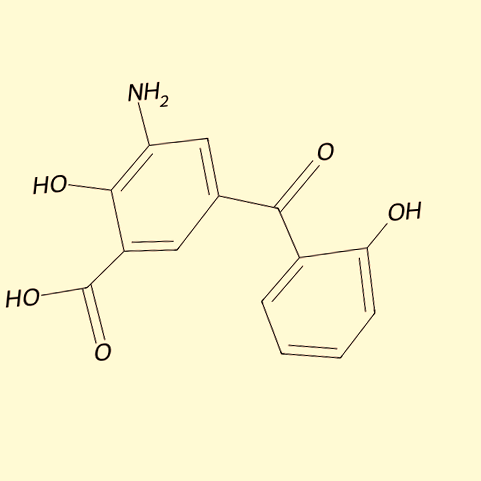 Nc1cc(C(=O)c2ccccc2O)cc(C(=O)O)c1O